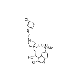 COc1ccc2ncc(Cl)c([C@H](O)CCC3(CC(=O)O)CCN(CCSc4cccc(Cl)c4)CC3)c2c1